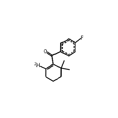 [2H]C1=C(C(=O)c2ccc(F)cc2)C(C)(C)CCC1